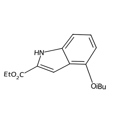 CCOC(=O)c1cc2c(OCC(C)C)cccc2[nH]1